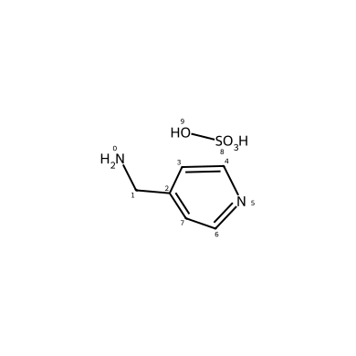 NCc1ccncc1.O=S(=O)(O)O